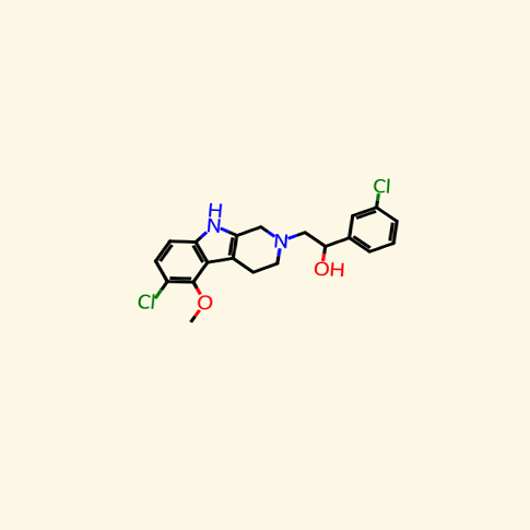 COc1c(Cl)ccc2[nH]c3c(c12)CCN(CC(O)c1cccc(Cl)c1)C3